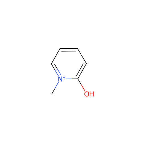 C[n+]1ccccc1O